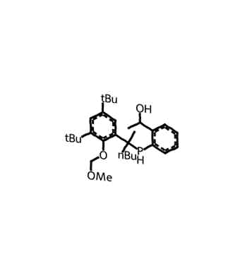 CCCCC(C)(Pc1ccccc1C(C)O)c1cc(C(C)(C)C)cc(C(C)(C)C)c1OCOC